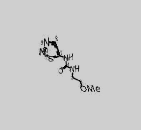 COCCNC(=O)Nc1cnns1